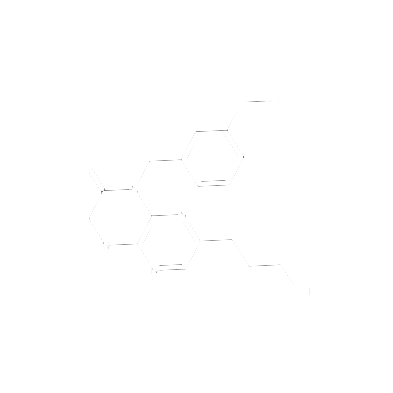 COc1cccc(CN2C(=O)CNc3ncc(CCCO)nc32)c1